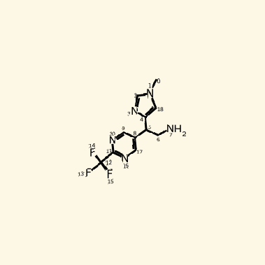 Cn1cnc(C(CN)c2cnc(C(F)(F)F)nc2)c1